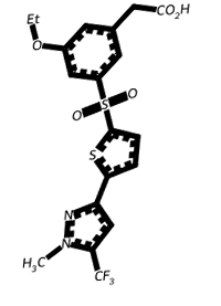 CCOc1cc(CC(=O)O)cc(S(=O)(=O)c2ccc(-c3cc(C(F)(F)F)n(C)n3)s2)c1